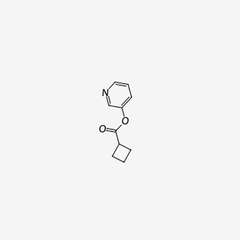 O=C(Oc1cccnc1)C1CCC1